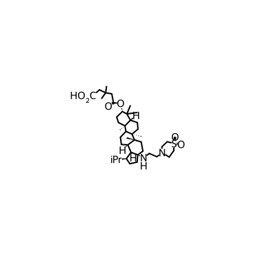 CC(C)[C@@H]1CC[C@]2(NCCN3CCS(=O)(=O)CC3)CC[C@]3(C)[C@H](CCC4[C@@]5(C)CC[C@H](OC(=O)CC(C)(C)CC(=O)O)C(C)(C)[C@@H]5CC[C@]43C)[C@@H]12